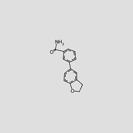 NC(=O)c1cccc(-c2ccc3c(c2)CCO3)c1